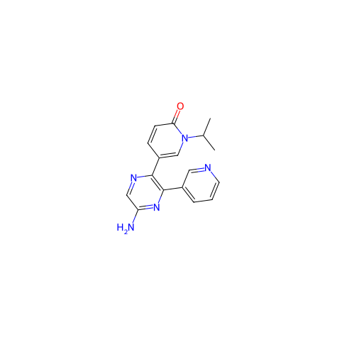 CC(C)n1cc(-c2ncc(N)nc2-c2cccnc2)ccc1=O